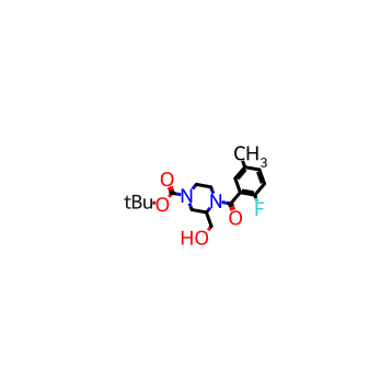 Cc1ccc(F)c(C(=O)N2CCN(C(=O)OC(C)(C)C)CC2CO)c1